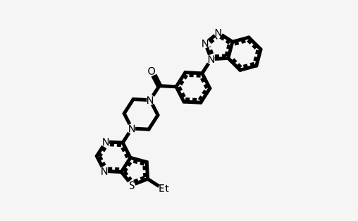 CCc1cc2c(N3CCN(C(=O)c4cccc(-n5nnc6ccccc65)c4)CC3)ncnc2s1